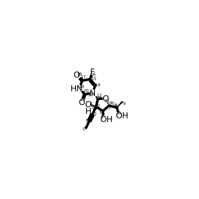 CC#C[C@@]1(O)C(O)[C@@H]([C@@H](C)O)O[C@H]1n1cc(F)c(=O)[nH]c1=O